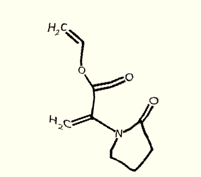 C=COC(=O)C(=C)N1CCCC1=O